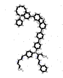 C=C/C=C\C=C\c1ccc(N(/C(C=C)=C/C=C/c2ccccc2)c2ccc(-c3ccc(-c4ccc5oc6ccc(-c7ccc8c(ccccccn8-c8ccccc8)c7)cc6c5c4)cc3)cc2)cc1